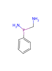 NCP(N)c1ccccc1